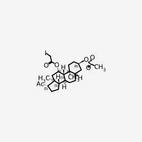 CC(=O)[C@H]1CC[C@H]2[C@@H]3CC[C@H]4C[C@H](OS(C)(=O)=O)CC[C@]4(C)[C@H]3[C@@H](OC(=O)CI)C[C@]12C